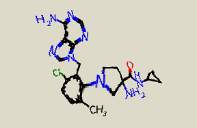 Cc1ccc(Cl)c(Cn2cnc3c(N)ncnc32)c1N1CCC(N)(C(=O)NC2CC2)C1